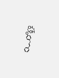 CCC(O)Oc1ccc(CC=Cc2ccccc2)cc1